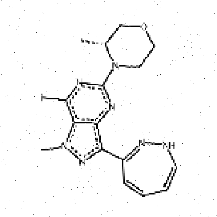 C[C@@H]1COCCN1c1nc(I)c2c(n1)c(C1=NNC=CC=C1)nn2C